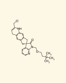 C[Si](C)(C)CCOCN1C(=O)[C@]2(Cc3cc4c(cc3C2)NC(CCl)=CC4)c2cccnc21